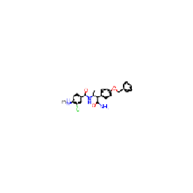 CC(C)Nc1ccc(C(=O)NC(C)C(C(N)=O)c2ccc(OCc3ccccc3)cc2)cc1Cl